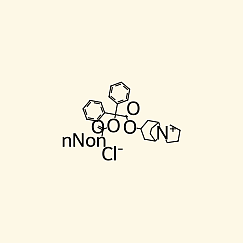 CCCCCCCCCC(=O)OC(C(=O)OC1CC2CCC(C1)[N+]21CCCC1)(c1ccccc1)c1ccccc1.[Cl-]